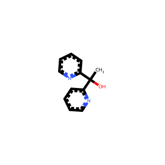 CC(O)(c1ccccn1)c1ccccn1